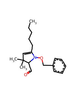 CCCCCC1=CC(C)(C)C(C=O)N1OCc1ccccc1